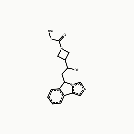 CC(C)(C)OC(=O)N1CC(C(O)CC2c3ccccc3-c3cncn32)C1